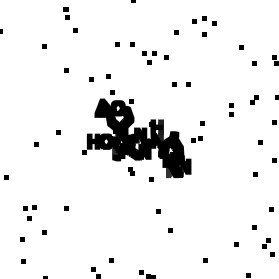 Cc1cc2ncnn2cc1Nc1ncc2c(n1)N([C@@H]1CCOC3(CC3)C1)C(O)N2C